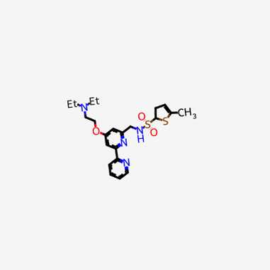 CCN(CC)CCOc1cc(CNS(=O)(=O)C2CC=C(C)S2)nc(-c2ccccn2)c1